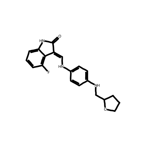 O=C1Nc2cccc(F)c2/C1=C\Nc1ccc(NCC2CCCO2)cc1